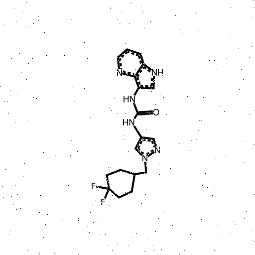 O=C(Nc1cnn(CC2CCC(F)(F)CC2)c1)Nc1c[nH]c2cccnc12